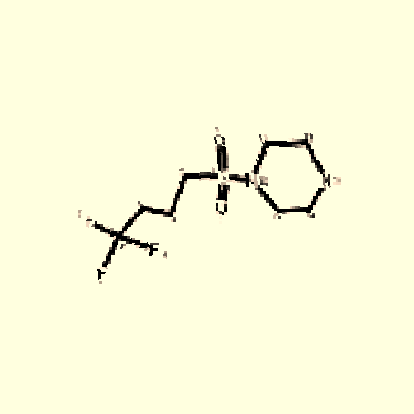 O=S(=O)(CCCC(F)(F)F)N1CC[N]CC1